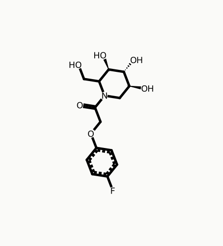 O=C(COc1ccc(F)cc1)N1C[C@H](O)[C@@H](O)[C@H](O)C1CO